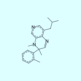 Cc1ccccc1C1(C)C=Nc2c(CC(C)C)cncc2N1C